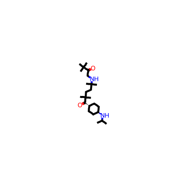 CC(C)N[C@H]1CC[C@H](C(=O)C(C)(C)CCC(C)(C)NCC(=O)C(C)(C)C)CC1